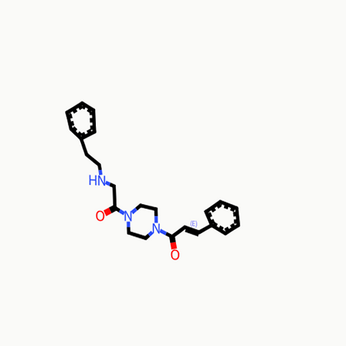 O=C(/C=C/c1ccccc1)N1CCN(C(=O)CNCCc2ccccc2)CC1